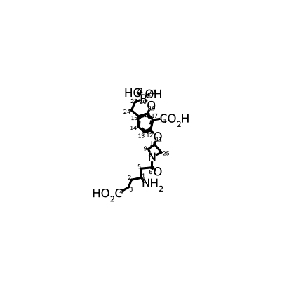 NC(CCC(=O)O)CC(=O)N1CC(Oc2ccc3c(c2C(=O)O)O[B-](O)(O)CC3)C1